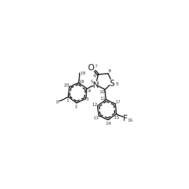 Cc1ccc(N2C(=O)CSC2c2cccc(F)c2)c(C)c1